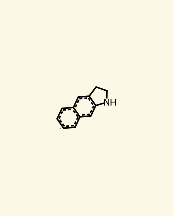 [c]1ccc2cc3c(cc2c1)NCC3